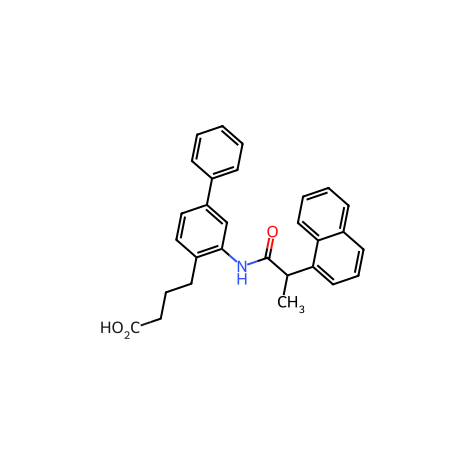 CC(C(=O)Nc1cc(-c2ccccc2)ccc1CCCC(=O)O)c1cccc2ccccc12